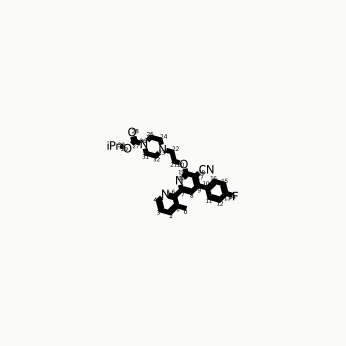 Cc1cccnc1-c1cc(-c2ccc(F)cc2)c(C#N)c(OCCN2CCN(C(=O)OC(C)C)CC2)n1